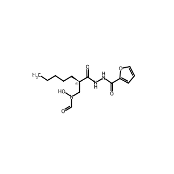 CCCCC[C@H](CN(O)C=O)C(=O)NNC(=O)c1ccco1